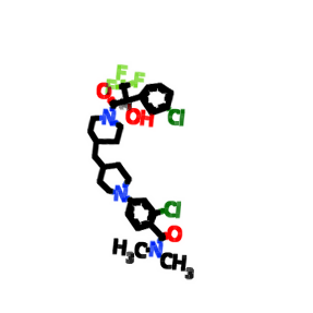 CN(C)C(=O)c1ccc(N2CCC(CC3CCN(C(=O)[C@](O)(c4cccc(Cl)c4)C(F)(F)F)CC3)CC2)cc1Cl